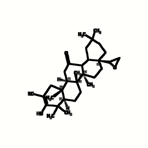 CC1(C)CC[C@]2(C3CO3)CC[C@]3(C)C(C(=O)C[C@@H]4[C@@]5(C)CC(C#N)=C(O)C(C)(C)[C@@H]5CC[C@]43C)C2C1